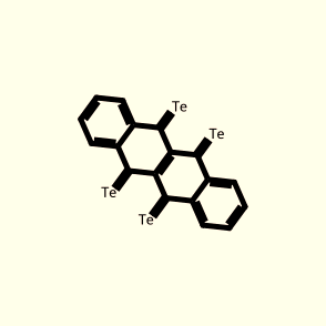 [Te]=c1c2c(=[Te])c3ccccc3c(=[Te])c=2c(=[Te])c2ccccc12